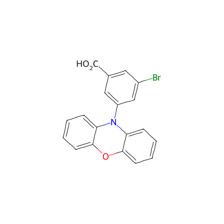 O=C(O)c1cc(Br)cc(N2c3ccccc3Oc3ccccc32)c1